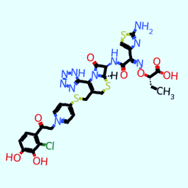 CC[C@H](O/N=C(\C(=O)N[C@@H]1C(=O)N2C(c3nnn[nH]3)=C(CSc3cc[n+](CC(=O)c4ccc(O)c(O)c4Cl)cc3)CS[C@H]12)c1csc(N)n1)C(=O)O